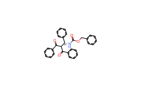 O=C(N[C@@H](c1ccccc1)C(C(=O)c1ccccc1)C(=O)c1ccccc1)OCc1ccccc1